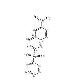 O=[N+]([O-])c1ccc2nc(S(=O)(=O)c3ccccc3)cnc2c1